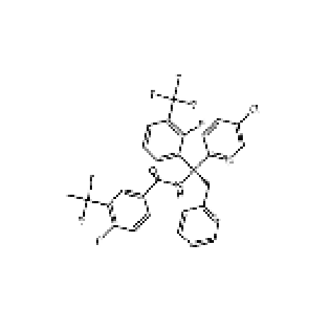 CC(F)(F)c1cc(C(=O)N[C@@](Cc2ccccc2)(c2ccc(Cl)cn2)c2cccc(C(F)(F)F)c2F)ccc1F